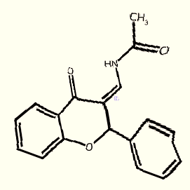 CC(=O)N/C=C1\C(=O)c2ccccc2OC1c1ccccc1